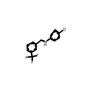 FC(F)(F)c1cccc(CNc2ccc(Cl)cc2)c1